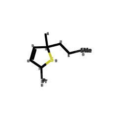 CSCCC1(C)C=CC(C(C)C)S1